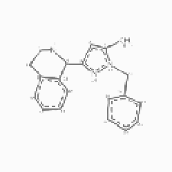 Cc1cc(C2[N]CCc3ccccc32)nn1Cc1ccccc1